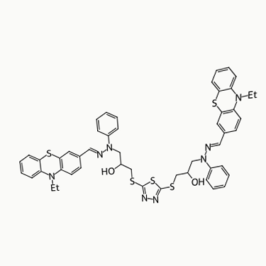 CCN1c2ccccc2Sc2cc(C=NN(CC(O)CSc3nnc(SCC(O)CN(N=Cc4ccc5c(c4)Sc4ccccc4N5CC)c4ccccc4)s3)c3ccccc3)ccc21